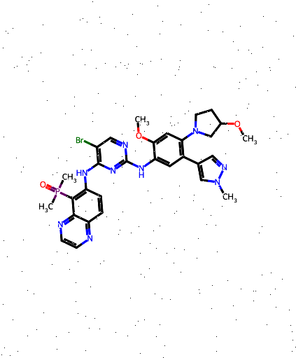 COc1cc(N2CCC(OC)C2)c(-c2cnn(C)c2)cc1Nc1ncc(Br)c(Nc2ccc3nccnc3c2P(C)(C)=O)n1